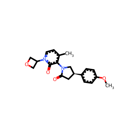 COc1ccc([C@H]2CC(=O)N(c3c(C)ccn(C4COC4)c3=O)C2)cc1